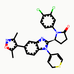 Cc1noc(C)c1-c1ccc2c(c1)nc([C@@H]1CCC(=O)N1c1ccc(Cl)c(Cl)c1)n2C1=CCSC=C1